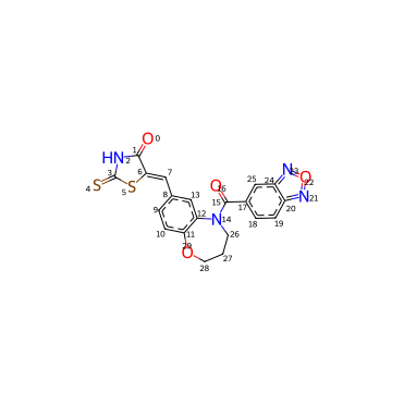 O=C1NC(=S)S/C1=C\c1ccc2c(c1)N(C(=O)c1ccc3nonc3c1)CCCO2